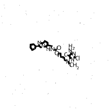 C=CN(CCCCOC(=O)NCc1ccc2nc(-c3ccccc3)cn2c1)c1nc(Cl)nc(N)c1C